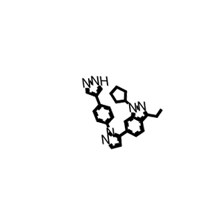 CCc1nn(C2CCCC2)c2cc(-c3ccnn3-c3ccc(-c4cn[nH]c4)cc3)ccc12